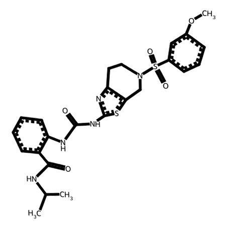 COc1cccc(S(=O)(=O)N2CCc3nc(NC(=O)Nc4ccccc4C(=O)NC(C)C)sc3C2)c1